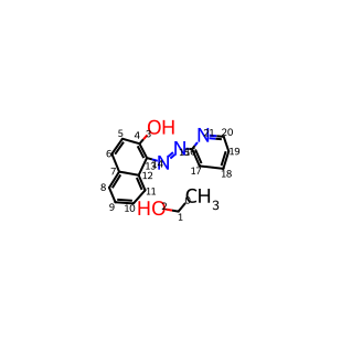 CCO.Oc1ccc2ccccc2c1N=Nc1ccccn1